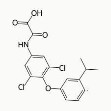 CC(C)c1[c]ccc(Oc2c(Cl)cc(NC(=O)C(=O)O)cc2Cl)c1